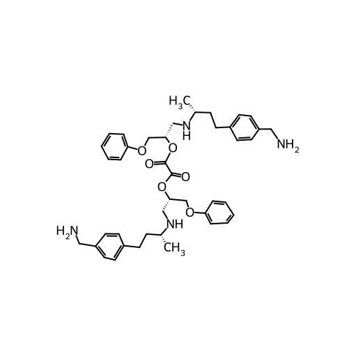 C[C@H](CCc1ccc(CN)cc1)NC[C@@H](COc1ccccc1)OC(=O)C(=O)O[C@@H](CN[C@H](C)CCc1ccc(CN)cc1)COc1ccccc1